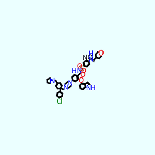 O=C(NS(=O)(=O)c1ccc(NCC2CCOCC2)c([N+](=O)[O-])c1)c1ccc(N2CCN(CC3(c4ccc(Cl)cc4)C=CC(CN4CCCC4)=CC3)CC2)cc1Oc1cccc2[nH]ccc12